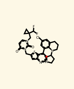 O=c1ccn(CC2(C(F)F)CC2)c(=O)n1Cc1cc2nccc(-c3cc(Cl)cc4c3N(C3CCNC3)CCC4)c2s1